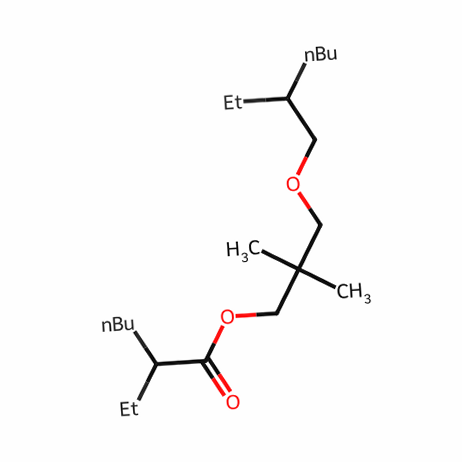 CCCCC(CC)COCC(C)(C)COC(=O)C(CC)CCCC